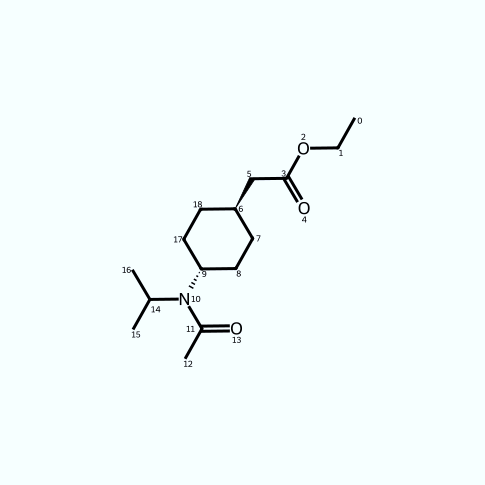 CCOC(=O)C[C@H]1CC[C@H](N(C(C)=O)C(C)C)CC1